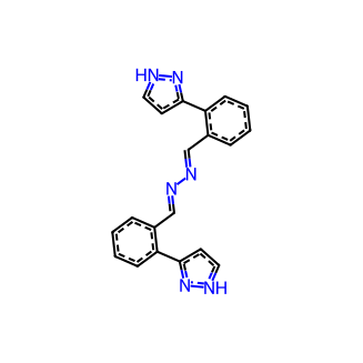 C(=N\N=C\c1ccccc1-c1cc[nH]n1)/c1ccccc1-c1cc[nH]n1